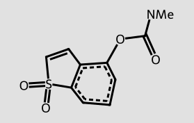 CNC(=O)Oc1cccc2c1C=CS2(=O)=O